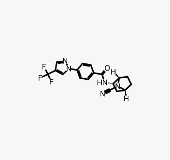 N#CN1[C@@H]2CC[C@H]1[C@@H](NC(=O)c1ccc(-n3cc(C(F)(F)F)cn3)cc1)C2